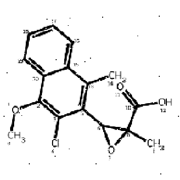 COc1c(Cl)c(C2OC2(C)C(=O)O)c(C)c2ccccc12